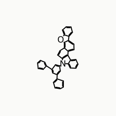 c1ccc(-c2cc(-c3ccccc3)cc(-n3c4ccccc4c4c5ccc6c7ccccc7oc6c5ccc43)c2)cc1